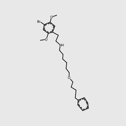 COc1cc(CCNCCCCCCOCCCCc2ccccc2)c(OC)cc1Br